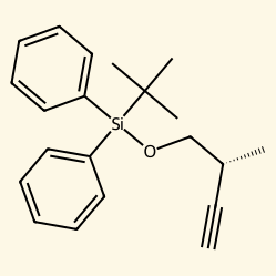 C#C[C@@H](C)CO[Si](c1ccccc1)(c1ccccc1)C(C)(C)C